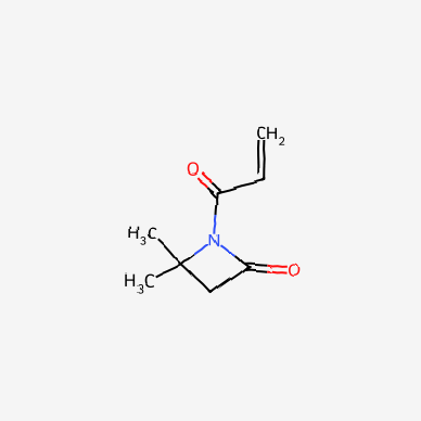 C=CC(=O)N1C(=O)CC1(C)C